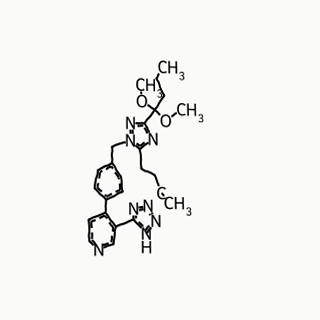 CCCCc1nc(C(CCC)(OC)OC)nn1Cc1ccc(-c2ccncc2-c2nnn[nH]2)cc1